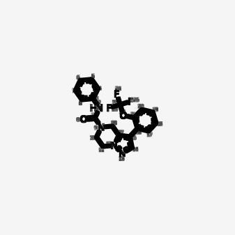 O=C(Nc1ccccc1)N1CCn2ncc(-c3ccccc3OC(F)(F)F)c2C1